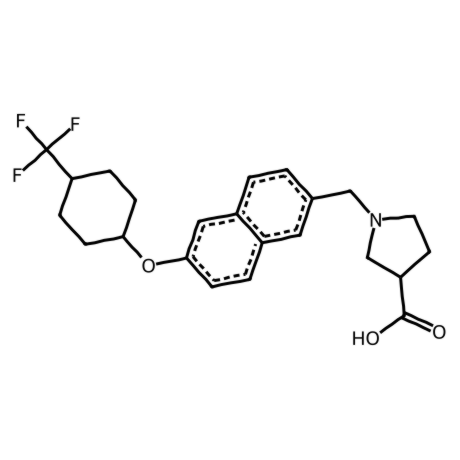 O=C(O)C1CCN(Cc2ccc3cc(OC4CCC(C(F)(F)F)CC4)ccc3c2)C1